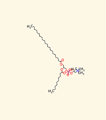 CCCCCCCCCCCCCCCCCCCCCC(=O)OCC(COP(=O)(O)OCC[N+](C)(C)C)OC(=O)CCCCCCCCC